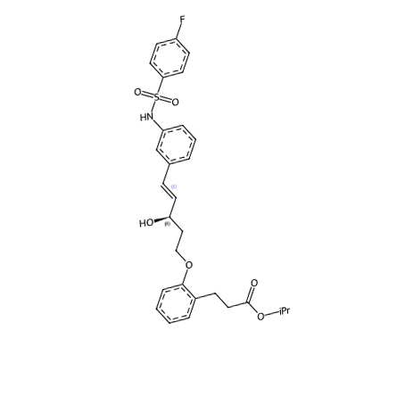 CC(C)OC(=O)CCc1ccccc1OCC[C@@H](O)/C=C/c1cccc(NS(=O)(=O)c2ccc(F)cc2)c1